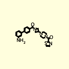 Nc1cccc(-c2ccc(C(=O)N3CC(N4CCN(C(=O)c5nccs5)CC4)C3)cc2)c1